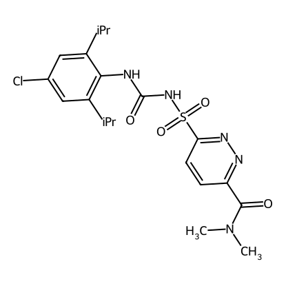 CC(C)c1cc(Cl)cc(C(C)C)c1NC(=O)NS(=O)(=O)c1ccc(C(=O)N(C)C)nn1